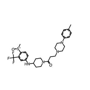 Cc1ccc(N2CCN(CCC(=O)N3CCC(Nc4ccc([S+](C)[O-])c(C(F)(F)F)c4)CC3)CC2)cc1